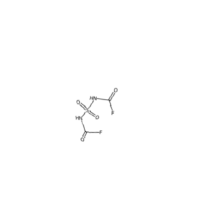 O=C(F)NS(=O)(=O)NC(=O)F